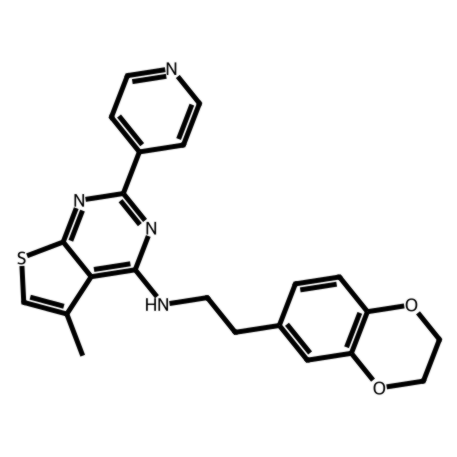 Cc1csc2nc(-c3ccncc3)nc(NCCc3ccc4c(c3)OCCO4)c12